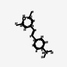 Cc1cc(C=Cc2ccc(N(C)C)cc2)cc(C)[o+]1